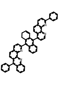 C1=Cc2c(c(-c3ccc4ccc5c(-c6ccccc6)c6ccccc6nc5c4n3)c3ccccc3c2-c2ccnc3c2ccc2ccc(-c4ccccc4)nc23)CC1